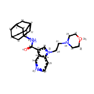 O=C(NC12CC3CC(CC(C3)C1)C2)c1cn(CCN2CCOCC2)c2ccncc12